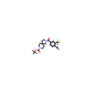 CC(C)(C)OC(=O)N1CCC2(CC1)CCN(C(=O)c1ccc(C#N)c(C(F)(F)F)c1)C2